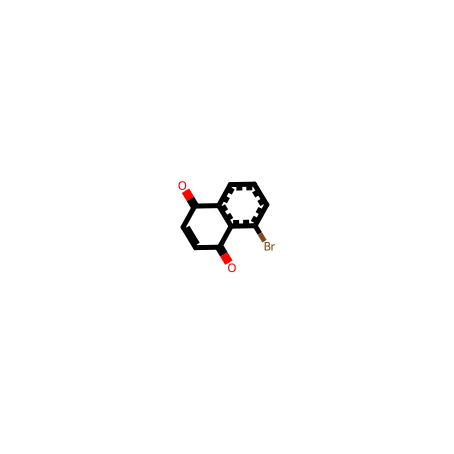 O=C1C=CC(=O)c2c(Br)cccc21